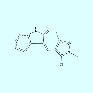 Cc1nn(C)c(Cl)c1/C=C1\C(=O)Nc2ccccc21